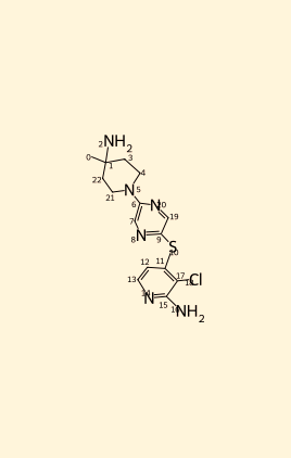 CC1(N)CCN(c2cnc(Sc3ccnc(N)c3Cl)cn2)CC1